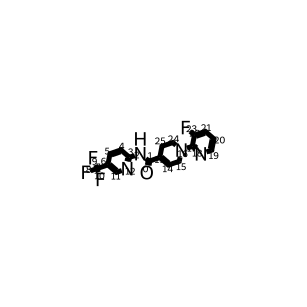 O=C(Nc1ccc(C(F)(F)F)cn1)C1=CCN(c2ncccc2F)CC1